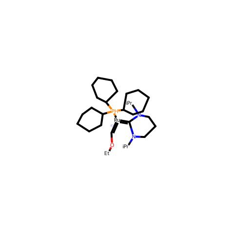 CCO/[CH]=[Ru](=[C]1N(C(C)C)CCCN1C(C)C)/[PH](C1CCCCC1)(C1CCCCC1)C1CCCCC1